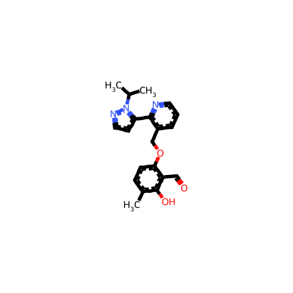 Cc1ccc(OCc2cccnc2-c2ccnn2C(C)C)c(C=O)c1O